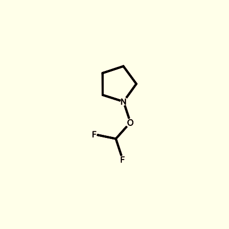 FC(F)ON1CCCC1